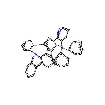 N#Cc1cc(-c2ccccc2-n2c3ccccc3c3ccccc32)cc(C#N)c1[Si](c1ccccc1)(c1ccccc1)c1ccccc1